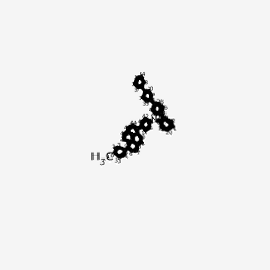 Cc1ccc(-c2ccc3ccc4c(-c5ccc(-n6c7ccccc7c7ccc(-c8ccc(-c9ccccc9)cc8)cc76)cc5)ccc5ccc2c3c54)cc1